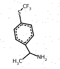 CC(N)c1ccc(SC(F)(F)F)cc1